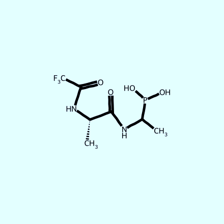 CC(NC(=O)[C@H](C)NC(=O)C(F)(F)F)P(O)O